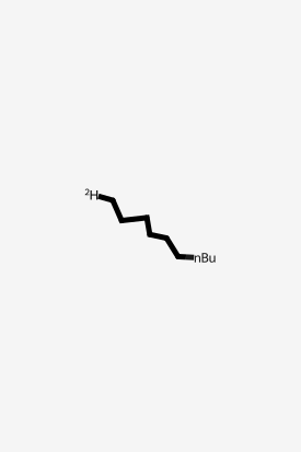 [2H]CCCCCCCCCC